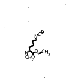 C=NC(CCCCN=C=O)C(=O)OCC